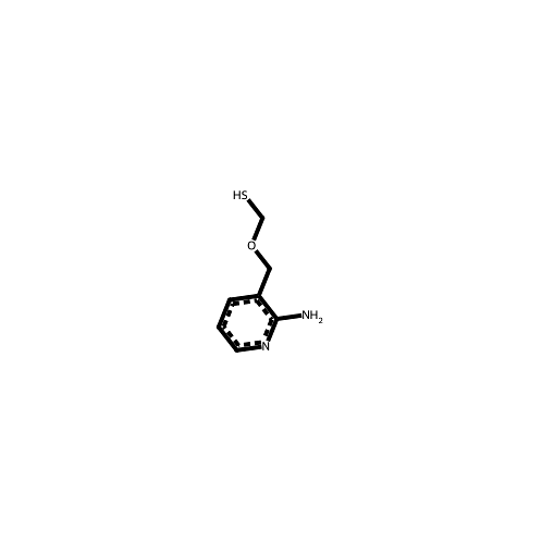 Nc1ncccc1COCS